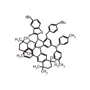 Cc1ccc(N(c2ccc(C)cc2)c2cc(Cc3ccc(C(C)(C)C)cc3)c3c(c2)N(c2cc4c(cc2-c2ccccc2)C(C)(C)CCC4(C)C)C2=C(CC4C(=C2)C(C)(C)CCC4(C)C)B3c2sc3ccc(C(C)(C)C)cc3c2I)cc1